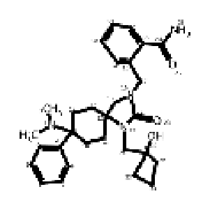 CN(C)C1(c2ccccc2)CCC2(CC1)CN(Cc1ccccc1C(N)=O)C(=O)N2CC1(O)CCC1